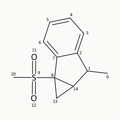 CC1c2ccccc2C2(S(C)(=O)=O)CC12